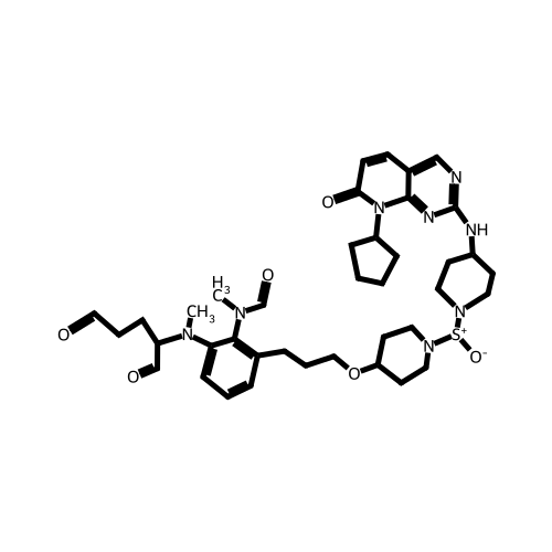 CN(C=O)c1c(CCCOC2CCN([S+]([O-])N3CCC(Nc4ncc5ccc(=O)n(C6CCCC6)c5n4)CC3)CC2)cccc1N(C)C(C=O)CCC=O